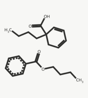 CCCCC1(C(=O)O)C=CC=CC1.CCCCOC(=O)c1ccccc1